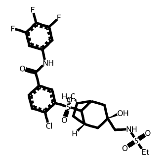 CCS(=O)(=O)NC[C@@]1(O)CC2C(S(=O)(=O)c3cc(C(=O)Nc4cc(F)c(F)c(F)c4)ccc3Cl)[C@@H](C[C@@H]2C)C1